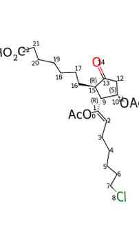 CC(=O)OC(=CCCCCCCl)[C@H]1[C@@H](OC(C)=O)CC(=O)[C@@H]1CCCCCCC(=O)O